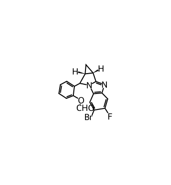 O=COc1ccccc1C1[C@@H]2C[C@@H]2c2nc3cc(F)c(Br)cc3n21